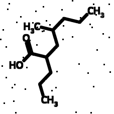 CCCC(C)CC(CCC)C(=O)O